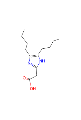 CCCCc1nc(CC(=O)O)[nH]c1CCCC